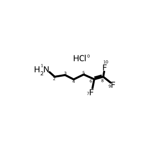 Cl.NCCCCC(F)=C(F)F